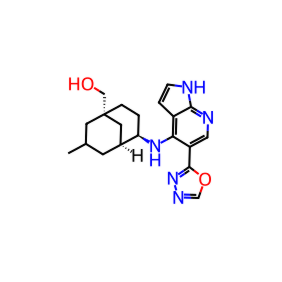 CC1C[C@H]2C[C@](CO)(CC[C@H]2Nc2c(-c3nnco3)cnc3[nH]ccc23)C1